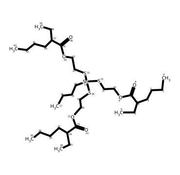 CCCCC(CC)C(=O)OCC[S][Sn]([CH2]CCC)([S]CCOC(=O)C(CC)CCCC)[S]CCOC(=O)C(CC)CCCC